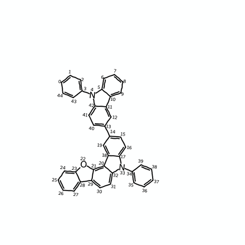 c1ccc(-n2c3ccccc3c3cc(-c4ccc5c(c4)c4c6oc7ccccc7c6ccc4n5-c4ccccc4)ccc32)cc1